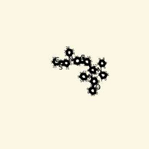 c1ccc(N(c2ccccc2)c2cc(-c3ccc4sc5cc(N(c6ccccc6)c6ccc7sc8ccccc8c7c6)ccc5c4c3)cc(N(c3ccccc3)c3ccc4oc5ccccc5c4c3)c2)cc1